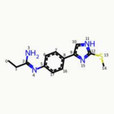 CCC(N)=Nc1ccc(-c2c[nH]c(SC)n2)cc1